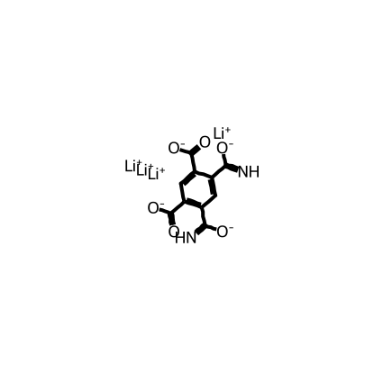 N=C([O-])c1cc(C(=N)[O-])c(C(=O)[O-])cc1C(=O)[O-].[Li+].[Li+].[Li+].[Li+]